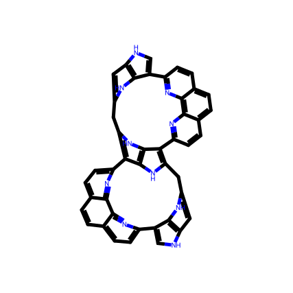 c1cc2ccc3ccc4nc3c2nc1-c1c[nH]c2cc([nH]c12)Cc1[nH]c2c-4c3[nH]c2c1-c1ccc2ccc4ccc(nc4c2n1)-c1c[nH]c2cc([nH]c12)C3